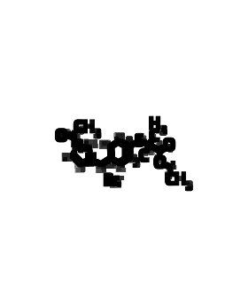 CCOC(=O)C(C)(C)Sc1ccc(Cn2cc[n+](C(C)=O)c2)cc1.[Br-]